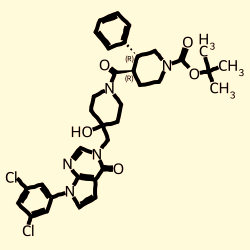 CC(C)(C)OC(=O)N1CC[C@@H](C(=O)N2CCC(O)(Cn3cnc4c(ccn4-c4cc(Cl)cc(Cl)c4)c3=O)CC2)[C@H](c2ccccc2)C1